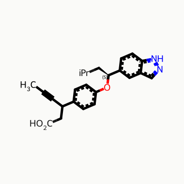 CC#CC(CC(=O)O)c1ccc(O[C@@H](CC(C)C)c2ccc3[nH]ncc3c2)cc1